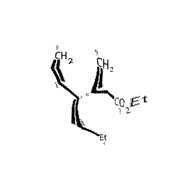 C=C/C=C/CC.C=CC(=O)OCC